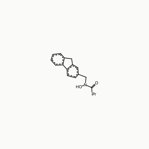 CC(C)C(=O)N(O)Cc1ccc2c(c1)Cc1ccccc1-2